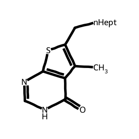 CCCCCCCCc1sc2nc[nH]c(=O)c2c1C